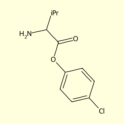 CC(C)C(N)C(=O)Oc1ccc(Cl)cc1